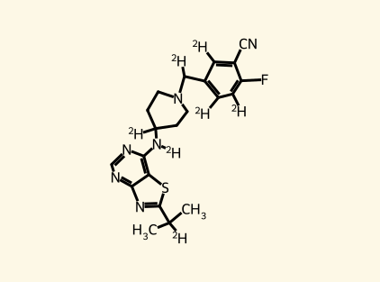 [2H]c1c([2H])c(C([2H])N2CCC([2H])(N([2H])c3ncnc4nc(C([2H])(C)C)sc34)CC2)c([2H])c(C#N)c1F